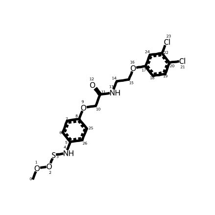 COOSNc1ccc(OCC(=O)NCCOc2ccc(Cl)c(Cl)c2)cc1